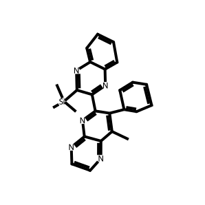 Cc1c(-c2ccccc2)c(-c2nc3ccccc3nc2[Si](C)(C)C)nc2nccnc12